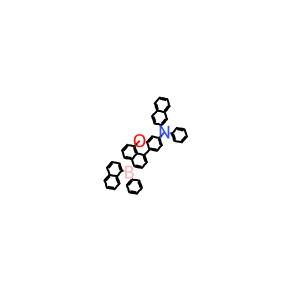 c1ccc(B(c2cccc3ccccc23)c2ccc3c4c(cccc24)Oc2cc(N(c4ccccc4)c4ccc5ccccc5c4)ccc2-3)cc1